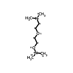 CN(C)CCOCCON(C)C